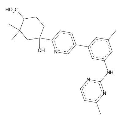 Cc1cc(Nc2nccc(C)n2)cc(-c2ccc(C3(O)CCC(C(=O)O)C(C)(C)C3)nc2)c1